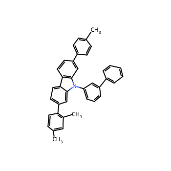 Cc1ccc(-c2ccc3c4ccc(-c5ccc(C)cc5C)cc4n(-c4cccc(-c5ccccc5)c4)c3c2)cc1